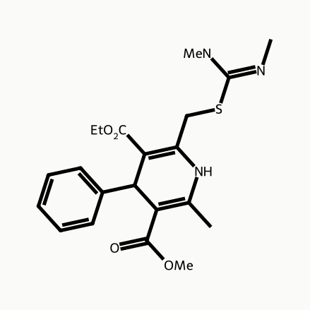 CCOC(=O)C1=C(CS/C(=N/C)NC)NC(C)=C(C(=O)OC)C1c1ccccc1